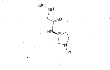 CC(C)N1CC[C@H](NC(=O)CNC(C)(C)C)C1